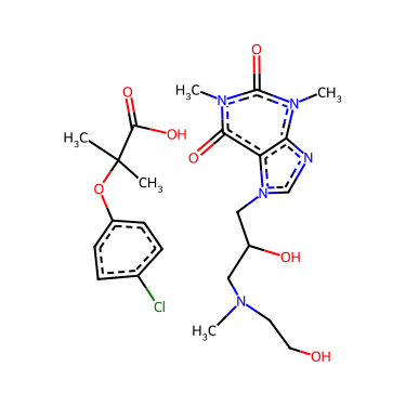 CC(C)(Oc1ccc(Cl)cc1)C(=O)O.CN(CCO)CC(O)Cn1cnc2c1c(=O)n(C)c(=O)n2C